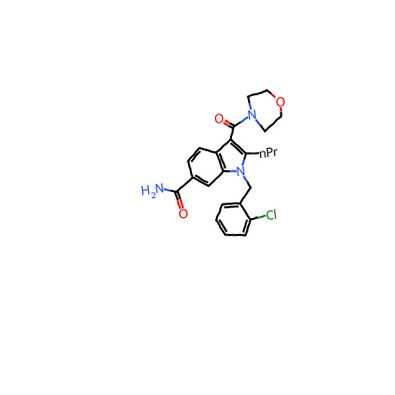 CCCc1c(C(=O)N2CCOCC2)c2ccc(C(N)=O)cc2n1Cc1ccccc1Cl